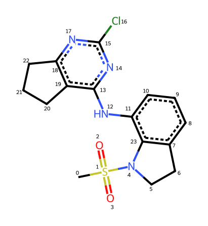 CS(=O)(=O)N1CCc2cccc(Nc3nc(Cl)nc4c3CCC4)c21